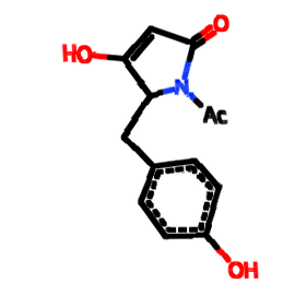 CC(=O)N1C(=O)C=C(O)C1Cc1ccc(O)cc1